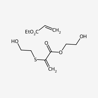 C=C(SCCO)C(=O)OCCO.C=CC(=O)OCC